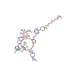 COCCOCCOCC1(F)CCC(c2nccc(COc3ccc4cc3C[C@H](C(=O)OC(C)(C)C)Oc3ncnc5sc(-c6ccc(F)cc6)c(c35)-c3c(C)c(Cl)c(c(Cl)c3C)O[C@H](CN3CCN(C)CC3)CO4)n2)CC1